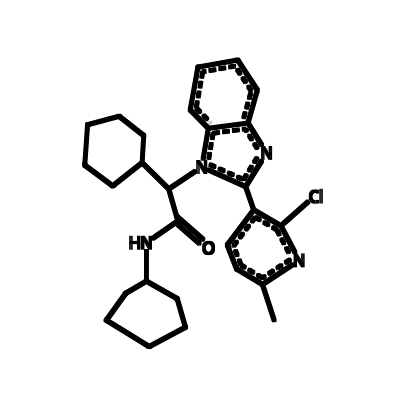 Cc1ccc(-c2nc3ccccc3n2C(C(=O)NC2CCCCC2)C2CCCCC2)c(Cl)n1